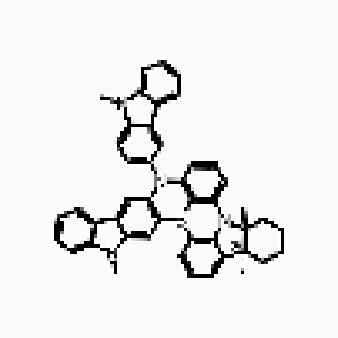 Cn1c2ccccc2c2cc(N3c4cc5c6ccccc6n(C)c5cc4B4c5cccc6c5N(c5cccc3c54)C3(C)CCCC[C@@]63C)ccc21